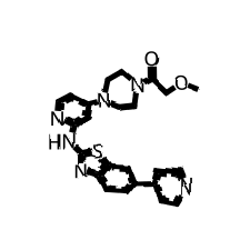 COCC(=O)N1CCN(c2ccnc(Nc3nc4ccc(-c5ccncc5)cc4s3)c2)CC1